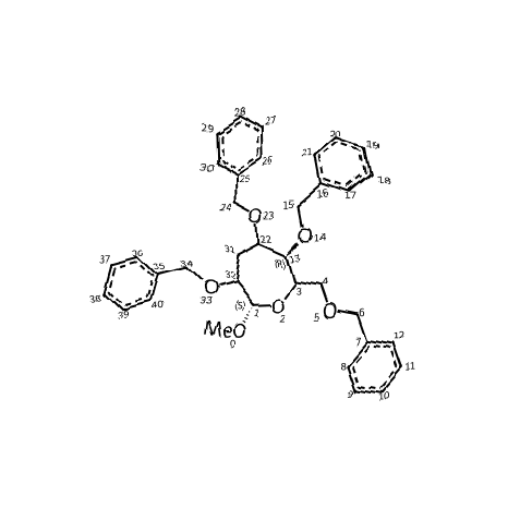 CO[C@H]1OC(COCc2ccccc2)[C@H](OCc2ccccc2)C(OCc2ccccc2)CC1OCc1ccccc1